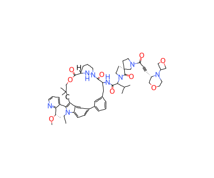 CCn1c(-c2cccnc2[C@H](C)OC)c2c3cc(ccc31)-c1cccc(c1)C[C@H](NC(=O)C(C(C)C)N1CC[C@@]3(CCN(C(=O)C#C[C@H]4COCCN4C4COC4)C3)C1=O)C(=O)N1CCC[C@H](N1)C(=O)OCC(C)(C)C2